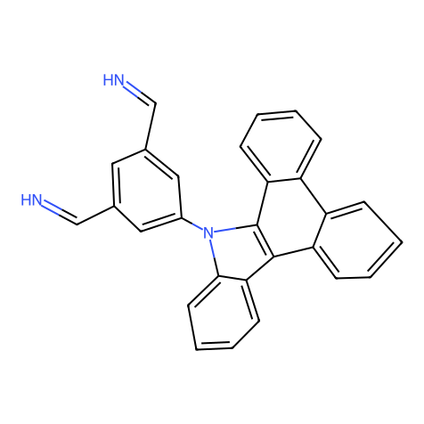 N=Cc1cc(C=N)cc(-n2c3ccccc3c3c4ccccc4c4ccccc4c32)c1